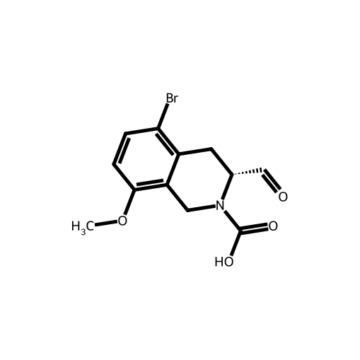 COc1ccc(Br)c2c1CN(C(=O)O)[C@@H](C=O)C2